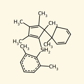 CC1=C(C)C(C)(C2(C)C=CC=CC2)C([SiH2]c2c(C)cccc2C)=C1C